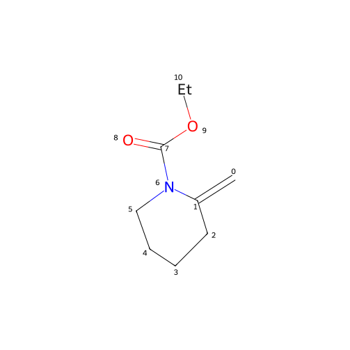 C=C1CCCCN1C(=O)OCC